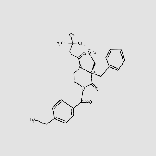 C=CC[C@@]1(Cc2ccccc2)C(=O)N(C(=O)c2ccc(OC)cc2)CCN1C(=O)OC(C)(C)C